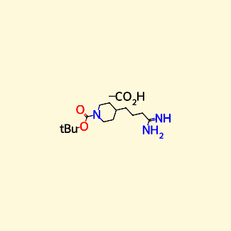 CC(=O)O.CC(C)(C)OC(=O)N1CCC(CCCC(=N)N)CC1